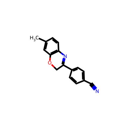 Cc1ccc2c(c1)OCC(c1ccc(C#N)cc1)=N2